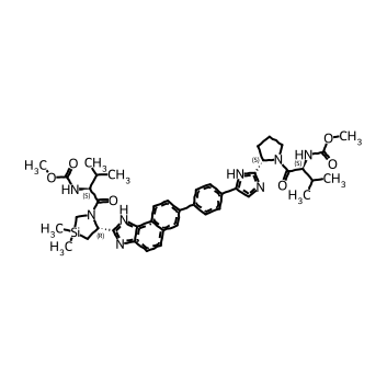 COC(=O)N[C@H](C(=O)N1CCC[C@H]1c1ncc(-c2ccc(-c3ccc4c(ccc5nc([C@@H]6C[Si](C)(C)CN6C(=O)[C@@H](NC(=O)OC)C(C)C)[nH]c54)c3)cc2)[nH]1)C(C)C